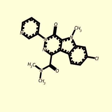 CN(C)C(=O)c1nn(-c2cccnc2)c(=O)c2c1c1ccc(Cl)cc1n2C